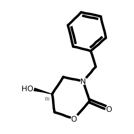 O=C1OC[C@@H](O)CN1Cc1ccccc1